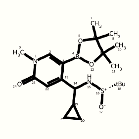 Cn1cc(B2OC(C)(C)C(C)(C)O2)c(C(N[S@@+]([O-])C(C)(C)C)C2CC2)cc1=O